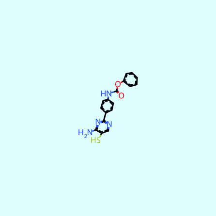 Nc1nc(-c2ccc(NC(=O)Oc3ccccc3)cc2)ncc1S